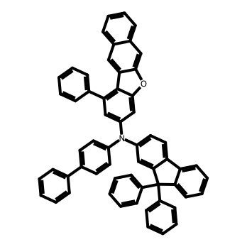 c1ccc(-c2ccc(N(c3ccc4c(c3)C(c3ccccc3)(c3ccccc3)c3ccccc3-4)c3cc(-c4ccccc4)c4c(c3)oc3cc5ccccc5cc34)cc2)cc1